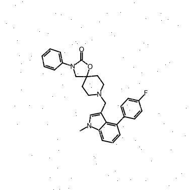 Cn1cc(CN2CCC3(CC2)CN(c2ccccc2)C(=O)O3)c2c(-c3ccc(F)cc3)cccc21